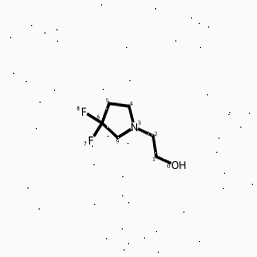 OCCN1CCC(F)(F)C1